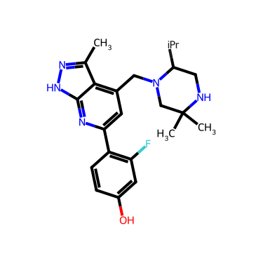 Cc1n[nH]c2nc(-c3ccc(O)cc3F)cc(CN3CC(C)(C)NCC3C(C)C)c12